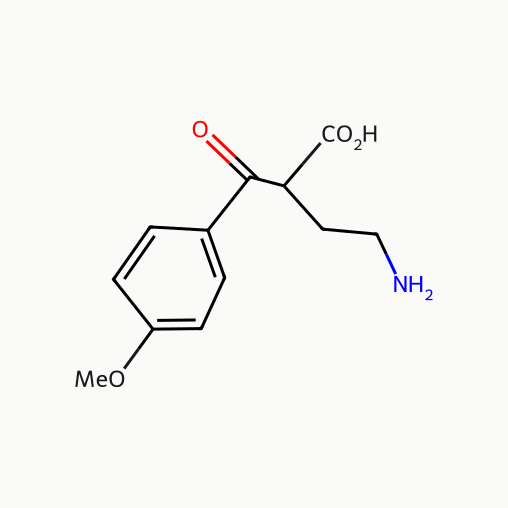 COc1ccc(C(=O)C(CCN)C(=O)O)cc1